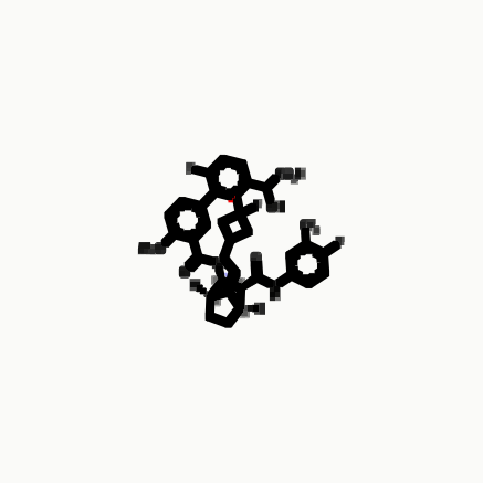 COc1ccc(-c2cc(C(O)C(=O)O)ccc2F)cc1C(=O)N[C@H]1[C@@H](C(=O)Nc2ccc(F)c(C(F)(F)F)c2)[C@H]2CC[C@@H]1/C2=C\CC1CC(F)(F)C1